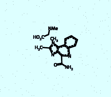 CNCC(=O)O.Cc1nc2c(C(N)=O)nc3ccccc3c2n1C